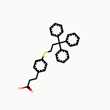 O=C(O)CCc1ccc(SCCC(c2ccccc2)(c2ccccc2)c2ccccc2)cc1